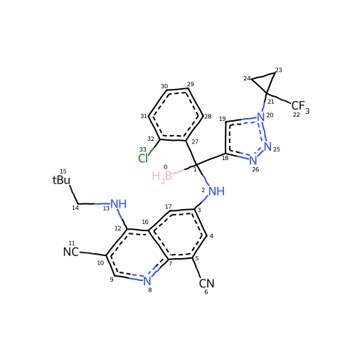 BC(Nc1cc(C#N)c2ncc(C#N)c(NCC(C)(C)C)c2c1)(c1cn(C2(C(F)(F)F)CC2)nn1)c1ccccc1Cl